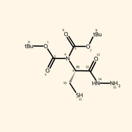 CC(C)(C)OC(=O)N(C(=O)OC(C)(C)C)[C@@H](CS)C(=O)NN